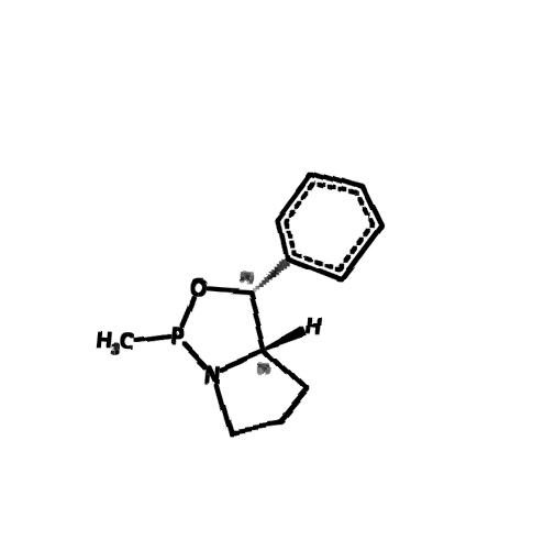 CP1O[C@H](c2ccccc2)[C@@H]2CCCN21